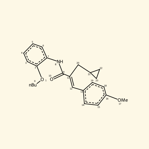 CCCCOc1ccccc1NC(=O)/C(=C/c1ccc(OC)cc1)CC1CC1